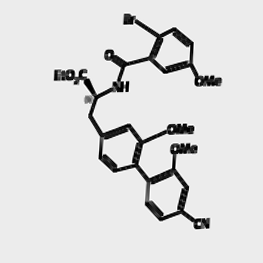 CCOC(=O)[C@H](Cc1ccc(-c2ccc(C#N)cc2OC)c(OC)c1)NC(=O)c1cc(OC)ccc1Br